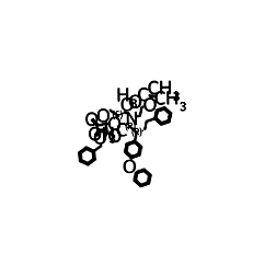 C[C@H]([C@H](CCc1ccccc1)c1ccc(Oc2ccccc2)cc1)N(CC(=O)OC(C)(C)C)C(=O)[C@@H]1COC(C(=O)O)(C(=O)OCc2ccccc2)O1